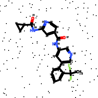 CC(F)(F)c1ccccc1-c1cncc(NC(=O)c2ccnc(NC(=O)C3CC3)c2)c1